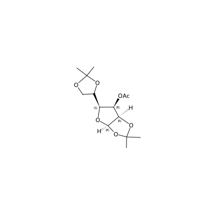 CC(=O)O[C@H]1[C@H]2OC(C)(C)O[C@H]2O[C@H]1C1COC(C)(C)O1